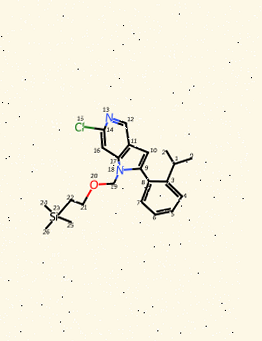 CC(C)c1ccccc1-c1cc2cnc(Cl)cc2n1COCC[Si](C)(C)C